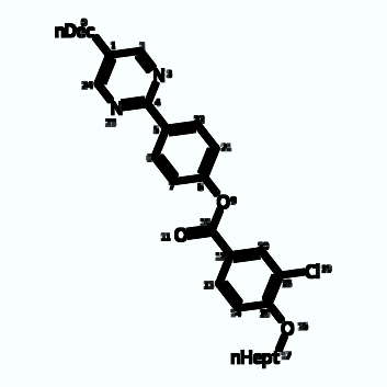 CCCCCCCCCCc1cnc(-c2ccc(OC(=O)c3ccc(OCCCCCCC)c(Cl)c3)cc2)nc1